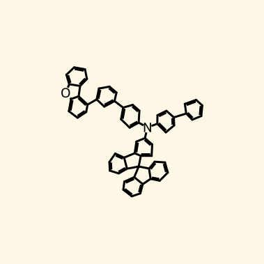 c1ccc(-c2ccc(N(c3ccc(-c4cccc(-c5cccc6oc7ccccc7c56)c4)cc3)c3ccc4c(c3)-c3ccccc3C43c4ccccc4-c4ccccc43)cc2)cc1